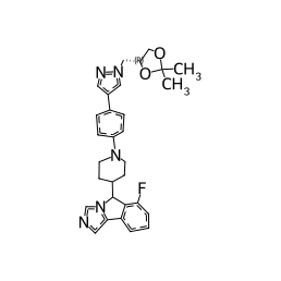 CC1(C)OC[C@@H](Cn2cc(-c3ccc(N4CCC(C5c6c(F)cccc6-c6cncn65)CC4)cc3)cn2)O1